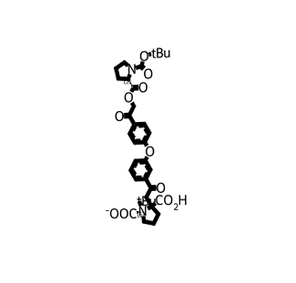 CC(C)(C)OC(=O)N1CCC[C@H]1C(=O)OCC(=O)c1ccc(Oc2cccc(C(=O)CC3(C(=O)O)CCC[N@+]3(C(=O)[O-])C(C)(C)C)c2)cc1